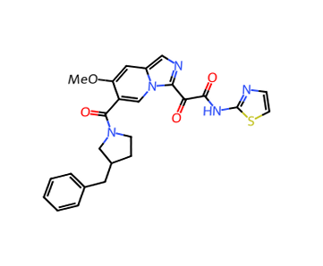 COc1cc2cnc(C(=O)C(=O)Nc3nccs3)n2cc1C(=O)N1CCC(Cc2ccccc2)C1